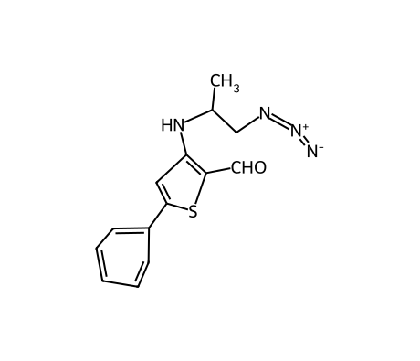 CC(CN=[N+]=[N-])Nc1cc(-c2ccccc2)sc1C=O